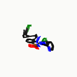 O=S1(=O)N=C(NCc2ncccc2Cl)Nc2c(/C=C\c3ccccc3F)cccc21